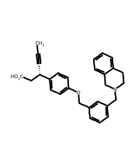 CC#C[C@@H](CC(=O)O)c1ccc(OCc2cccc(CN3CCc4ccccc4C3)c2)cc1